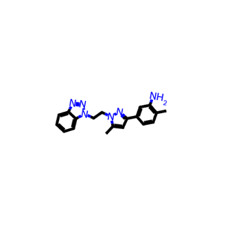 Cc1ccc(-c2cc(C)n(CCn3nnc4ccccc43)n2)cc1N